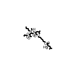 C=CC(=O)OC(C(C)=O)C(C(=O)NC(CC(C)C)C(=O)OCCCCCCOC(=O)C(CC(C)C)NC)N(CC)CCCC